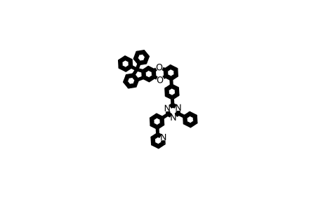 c1ccc(-c2nc(-c3ccc(-c4cccc5c4Oc4cc6c(cc4O5)C(c4ccccc4)(c4ccccc4)c4ccccc4-6)cc3)nc(-c3cccc(-c4ccccn4)c3)n2)cc1